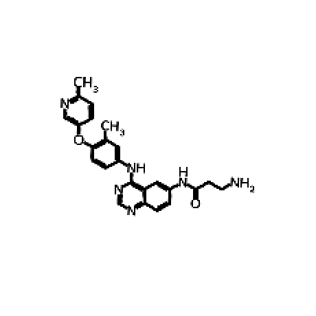 Cc1ccc(Oc2ccc(Nc3ncnc4ccc(NC(=O)CCN)cc34)cc2C)cn1